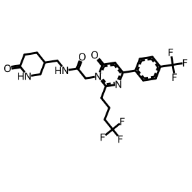 O=C1CCC(CNC(=O)Cn2c(CCCC(F)(F)F)nc(-c3ccc(C(F)(F)F)cc3)cc2=O)CN1